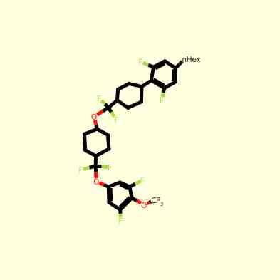 CCCCCCc1cc(F)c(C2CCC(C(F)(F)OC3CCC(C(F)(F)Oc4cc(F)c(OC(F)(F)F)c(F)c4)CC3)CC2)c(F)c1